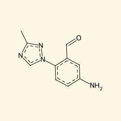 Cc1ncn(-c2ccc(N)cc2C=O)n1